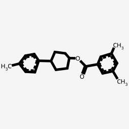 Cc1ccc(C2CCC(OC(=O)c3cc(C)cc(C)c3)CC2)cc1